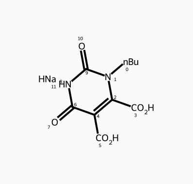 CCCCn1c(C(=O)O)c(C(=O)O)c(=O)[nH]c1=O.[NaH]